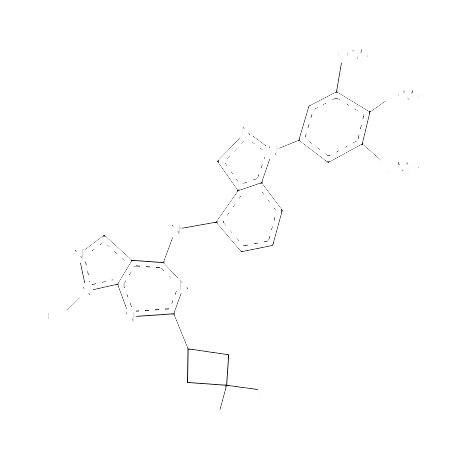 COc1cc(-n2ncc3c(Nc4nc(C5CC(F)(F)C5)nc5c4cnn5C(C)C)cccc32)cc(OC)c1OC